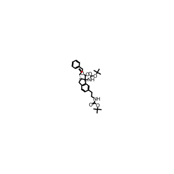 C=CC[C@H]1Cc2ccc(CCNC(=O)OC(C)(C)C)cc2[C@@]1(NC(=O)OC(C)(C)C)C(=O)OCc1ccccc1